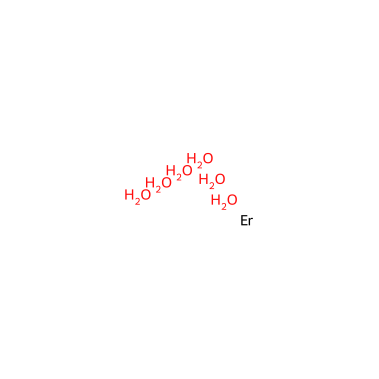 O.O.O.O.O.O.[Er]